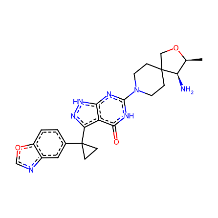 C[C@@H]1OCC2(CCN(c3nc4[nH]nc(C5(c6ccc7ocnc7c6)CC5)c4c(=O)[nH]3)CC2)[C@@H]1N